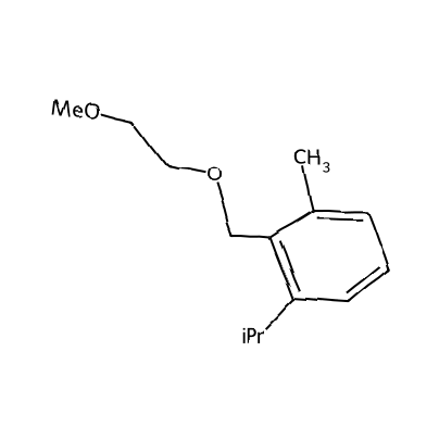 COCCOCc1c(C)cccc1C(C)C